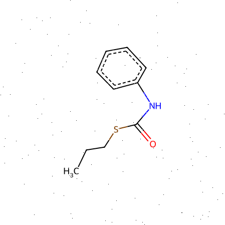 CCCSC(=O)Nc1ccccc1